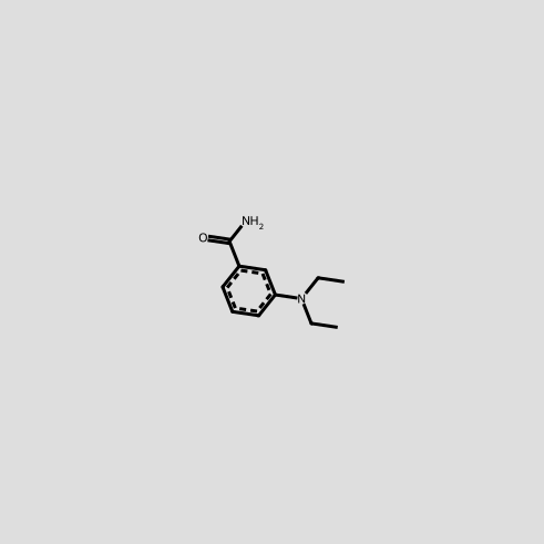 CCN(CC)c1cccc(C(N)=O)c1